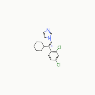 Clc1ccc(/C(=C/n2ccnc2)C2CCCCC2)c(Cl)c1